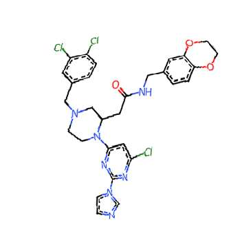 O=C(CC1CN(Cc2ccc(Cl)c(Cl)c2)CCN1c1cc(Cl)nc(-n2ccnc2)n1)NCc1ccc2c(c1)OCCO2